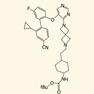 CC(C)(C)OC(=O)NC1CCC(CCN2CC3(C2)CN(c2ncncc2Oc2ccc(F)cc2-c2ccc(C#N)cc2C2CC2)C3)CC1